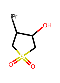 CC(C)C1CS(=O)(=O)CC1O